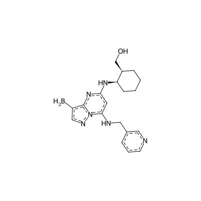 Bc1cnn2c(NCc3cccnc3)cc(N[C@@H]3CCCC[C@@H]3CO)nc12